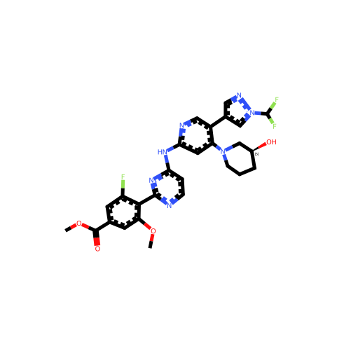 COC(=O)c1cc(F)c(-c2nccc(Nc3cc(N4CCC[C@H](O)C4)c(-c4cnn(C(F)F)c4)cn3)n2)c(OC)c1